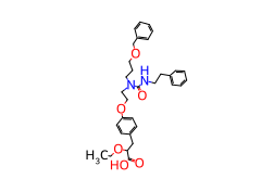 CCOC(Cc1ccc(OCCN(CCCOCc2ccccc2)C(=O)NCCc2ccccc2)cc1)C(=O)O